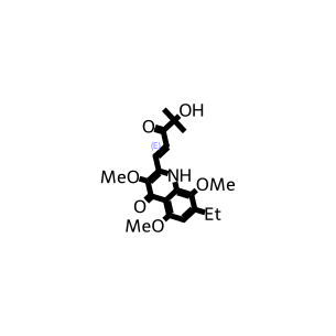 CCc1cc(OC)c2c(=O)c(OC)c(/C=C/C(=O)C(C)(C)O)[nH]c2c1OC